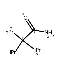 [CH2]CCC(C(N)=O)(C(C)C)C(C)C